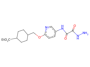 CCOC(=O)C1CCC(COc2ccc(NC(=O)C(=O)NN)cn2)CC1